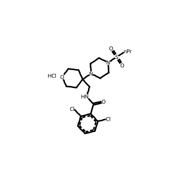 CCCS(=O)(=O)N1CCN(C2(CNC(=O)c3c(Cl)cccc3Cl)CCOCC2)CC1.Cl